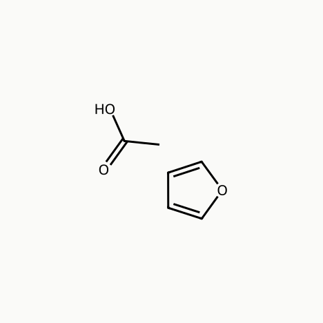 CC(=O)O.c1ccoc1